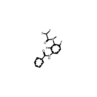 CN(C(=O)C(F)F)c1c(F)ccc(NC(=O)c2ccccc2)c1F